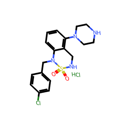 Cl.O=S1(=O)NCc2c(N3CCNCC3)cccc2N1Cc1ccc(Cl)cc1